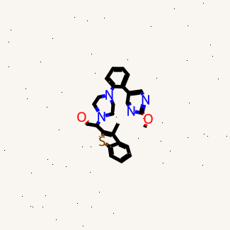 COc1ncc(-c2ccccc2N2CCN(C(C=O)c3sc4ccccc4c3C)CC2)cn1